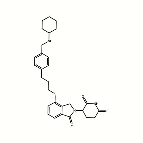 O=C1CCC(N2Cc3c(SCCCc4ccc(CNC5CCCCC5)cc4)cccc3C2=O)C(=O)N1